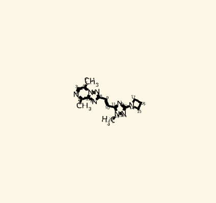 Cc1ncc(C)n2nc(C=Cc3nc(N4CCC4)nn3C)nc12